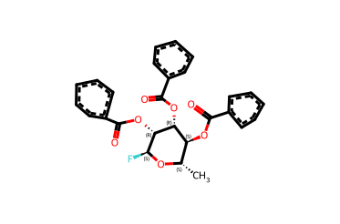 C[C@@H]1O[C@@H](F)[C@H](OC(=O)c2ccccc2)[C@H](OC(=O)c2ccccc2)[C@H]1OC(=O)c1ccccc1